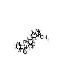 Cn1cnc2ccc(-c3cc(F)c(CN4Cc5ncccc5C4=O)c(F)c3)cc21